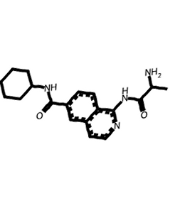 CC(N)C(=O)Nc1nccc2cc(C(=O)NC3CCCCC3)ccc12